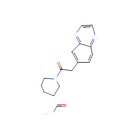 COC(=O)[C@@H]1CC[C@H](C)N(C(=O)Cc2ccc3nccnc3c2)C1